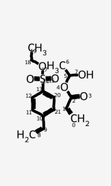 C=CC(=O)OC(C)O.C=Cc1ccc(S(=O)(=O)OCC)cc1